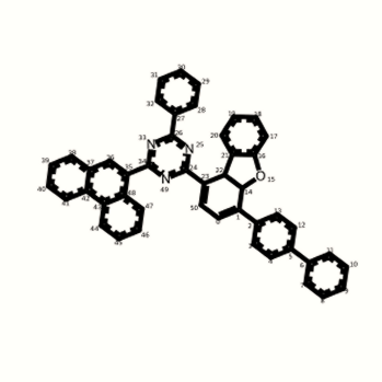 C1=C(c2ccc(-c3ccccc3)cc2)C2Oc3ccccc3C2C(c2nc(-c3ccccc3)nc(-c3cc4ccccc4c4ccccc34)n2)=C1